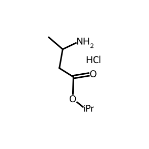 CC(N)CC(=O)OC(C)C.Cl